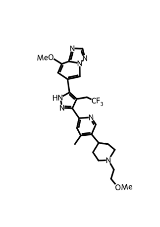 COCCN1CCC(c2cnc(-c3n[nH]c(-c4cc(OC)c5ncnn5c4)c3CC(F)(F)F)cc2C)CC1